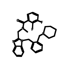 CN(Cc1nc2ccccc2n1Cc1ccccc1CN1CCCCC1)C(=O)c1cccc(F)c1F